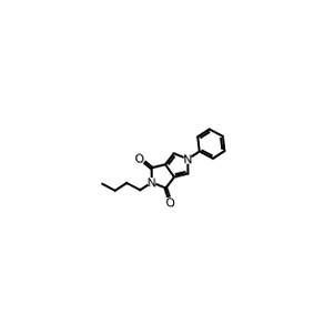 CCCCN1C(=O)c2cn(-c3ccccc3)cc2C1=O